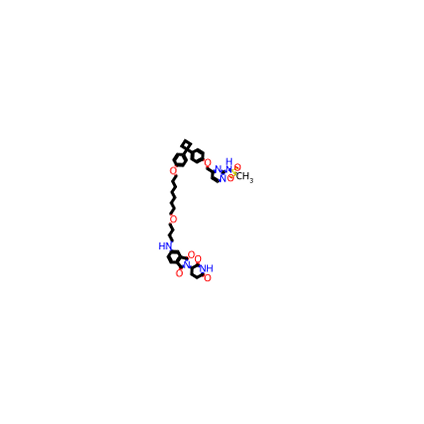 CS(=O)(=O)Nc1nccc(COc2ccc(C3(c4ccc(OCCCCCCCCOCCCCNc5ccc6c(c5)C(=O)N(C5CCC(=O)NC5=O)C6=O)cc4)CCC3)cc2)n1